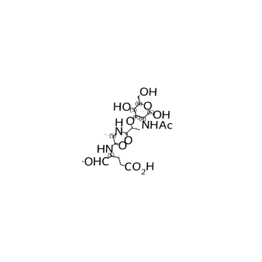 CC(=O)N[C@@H]1[C@@H](OC(C)C(=O)N[C@@H](C)C(=O)N[C@H]([C]=O)CCC(=O)O)[C@H](O)[C@@H](CO)O[C@@H]1O